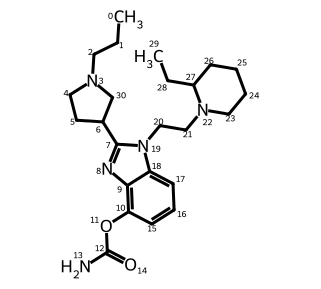 CCCN1CCC(c2nc3c(OC(N)=O)cccc3n2CCN2CCCCC2CC)C1